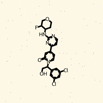 O=c1cc(-c2ccnc(NC3CCOCC3F)n2)ccn1C(CO)c1cc(Cl)cc(Cl)c1